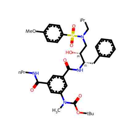 CCCNC(=O)c1cc(C(=O)N[C@@H](Cc2ccccc2)[C@H](O)CN(CC(C)C)S(=O)(=O)c2ccc(OC)cc2)cc(N(C)C(=O)OC(C)(C)C)c1